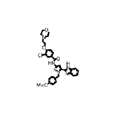 COc1ccc(Cn2nc(NC(=O)c3ccc(OCCN4CCOCC4)c(Cl)c3)cc2-c2nc3ccccc3[nH]2)cc1